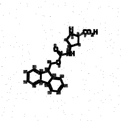 O=C(N[C@H]1CN[C@H](C(=O)O)C1)OCC1c2ccccc2-c2ccccc21